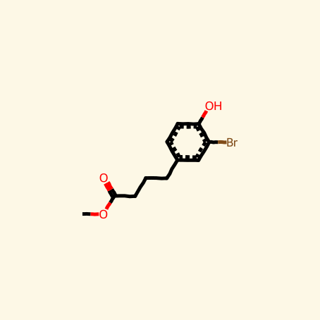 COC(=O)CCCc1ccc(O)c(Br)c1